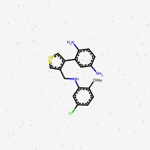 COc1ccc(Cl)cc1NCc1cscc1-c1cc(N)ccc1N